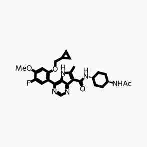 COc1cc(OCC2CC2)c(-c2ncnc3c(C(=O)N[C@H]4CC[C@H](NC(C)=O)CC4)c(C)[nH]c23)cc1F